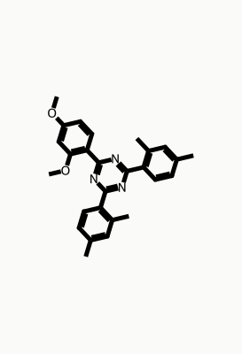 COc1ccc(-c2nc(-c3ccc(C)cc3C)nc(-c3ccc(C)cc3C)n2)c(OC)c1